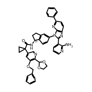 Nc1ncccc1-c1nc2ccc(-c3ccccc3)nc2n1-c1ccc2c(c1)CC[C@@H]2NC(=O)C1(c2cnc(C3OCCO3)c(OCc3ccccc3)c2)CC1